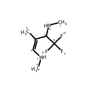 CN/C=C(/C)C(NC)C(F)(F)F